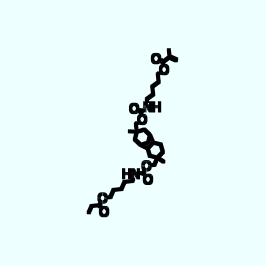 C=C(C)C(=O)OCCCCCNC(=O)OCC1(C)CC2CC(C1)C1CC(C)(COC(=O)NCCCCCOC(=O)CC)CCC21